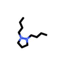 CCCCN1CCCN1CCCC